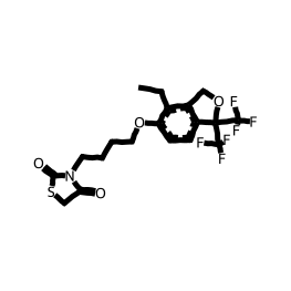 CCc1c(OCCCCN2C(=O)CSC2=O)ccc2c1COC2(C(F)(F)F)C(F)(F)F